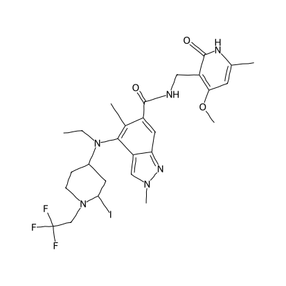 CCN(c1c(C)c(C(=O)NCc2c(OC)cc(C)[nH]c2=O)cc2nn(C)cc12)C1CCN(CC(F)(F)F)C(I)C1